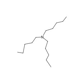 CCCCCN(CCCCC)CCCCC